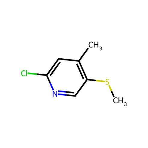 CSc1cnc(Cl)cc1C